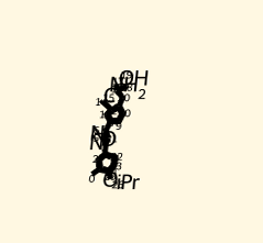 Cc1cc(-c2nnc(-c3ccc4c(c3)CCC(N)(CO)C4)o2)ccc1OC(C)C